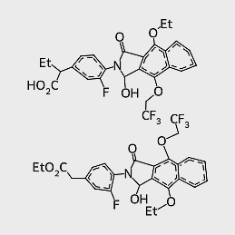 CCOC(=O)Cc1ccc(N2C(=O)c3c(c(OCC)c4ccccc4c3OCC(F)(F)F)C2O)c(F)c1.CCOc1c2c(c(OCC(F)(F)F)c3ccccc13)C(O)N(c1ccc(C(CC)C(=O)O)cc1F)C2=O